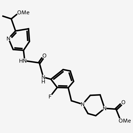 COC(=O)N1CCN(Cc2cccc(NC(=O)Nc3ccc(C(C)OC)nc3)c2F)CC1